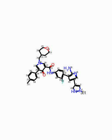 CCN1C=C(c2cnc(N)c(-c3ccc(NC(=O)c4cn(CC5CCOCC5)cc(-c5ccc(C)cc5)c4=O)cc3F)c2)CN1